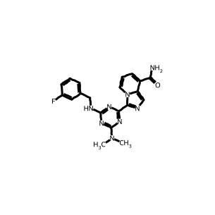 CN(C)c1nc(NCc2cccc(F)c2)nc(-c2ncc3c(C(N)=O)cccn23)n1